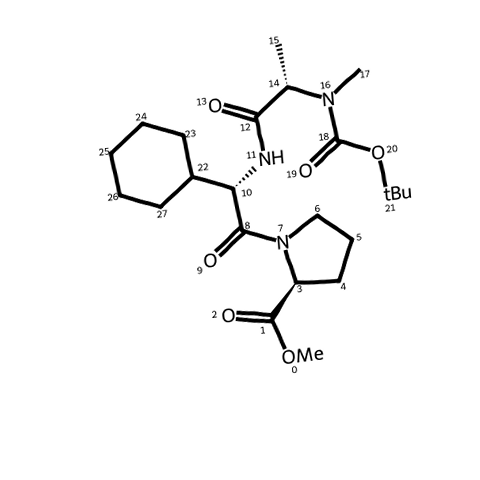 COC(=O)[C@@H]1CCCN1C(=O)[C@@H](NC(=O)[C@H](C)N(C)C(=O)OC(C)(C)C)C1CCCCC1